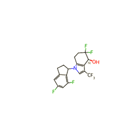 O[C@H]1c2c(C(F)(F)F)cn(C3CCc4cc(F)cc(F)c43)c2CCC1(F)F